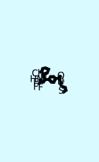 CN(Cc1cccs1)C(=O)c1ccc(C2=CC(C(F)(F)F)NN2c2ccccc2Cl)cc1